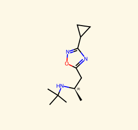 C[C@H](Cc1nc(C2CC2)no1)NC(C)(C)C